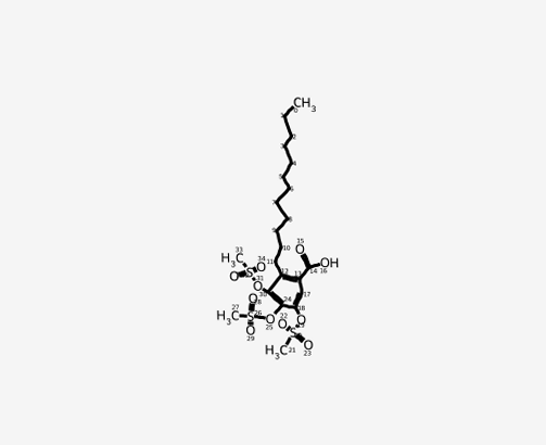 CCCCCCCCCCCCc1c(C(=O)O)cc(OS(C)(=O)=O)c(OS(C)(=O)=O)c1OS(C)(=O)=O